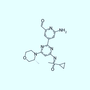 C[C@@H]1COCCN1c1cc(N=S(C)(=O)C2CC2)nc(-c2cc(N)nc(C=O)c2)n1